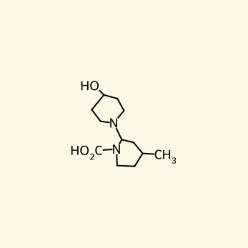 CC1CCN(C(=O)O)C(N2CCC(O)CC2)C1